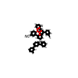 Cc1cccc(-c2ccc3c(c2)c2ccccc2n3-c2ccc(-c3ccc(C#N)cc3C(F)(F)F)c(-c3cc(C#N)ccc3-n3c4ccccc4c4cc(-c5cccc(C)c5)ccc43)c2)c1